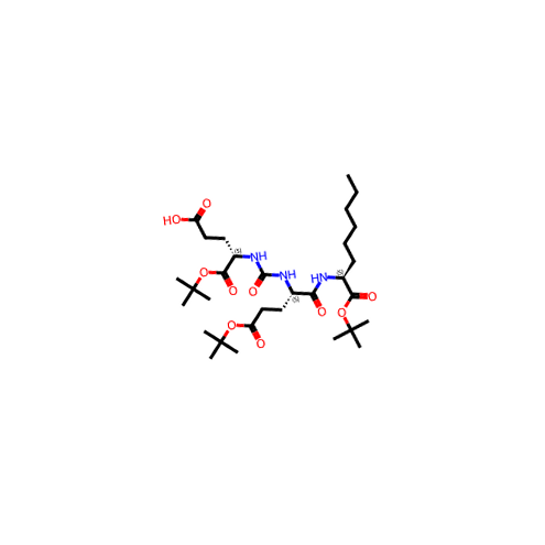 CCCCCC[C@H](NC(=O)[C@H](CCC(=O)OC(C)(C)C)NC(=O)N[C@@H](CCC(=O)O)C(=O)OC(C)(C)C)C(=O)OC(C)(C)C